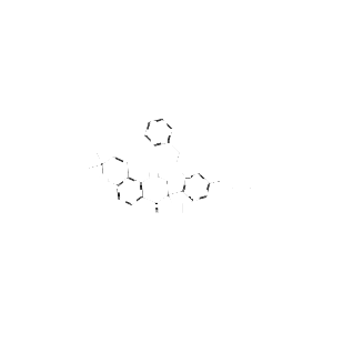 CCCOc1ccc(C2(O)COc3c(ccc4c3C=CC(C)(C)O4)C2=O)c(OCc2ccccc2)c1